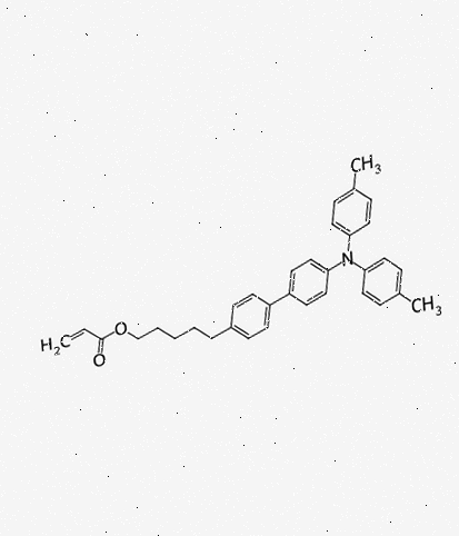 C=CC(=O)OCCCCCc1ccc(-c2ccc(N(c3ccc(C)cc3)c3ccc(C)cc3)cc2)cc1